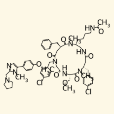 COC[C@@H]1NC(=O)[C@H](C)N(Cc2ccc(Cl)cc2Oc2ccc(-c3cnc(CN4CCCC4)n3C)cc2)C(=O)C[C@@H](Cc2ccccc2)C(=O)N(C)[C@@H](CCCCNC(C)=O)CNC(=O)C[C@H](Cc2ccc(Cl)cc2)N(C)C1=O